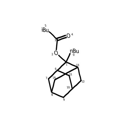 CCCCC1(OC(=O)C(C)CC)C2CC3CC(C2)CC1C3